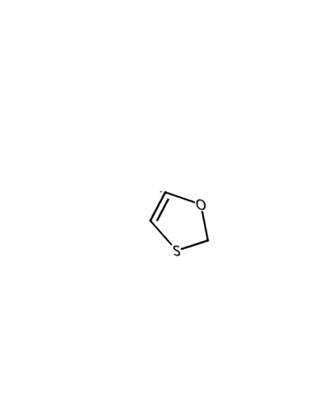 [C]1=CSCO1